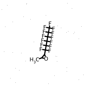 CC1OC1C(F)(F)C(F)(F)C(F)(F)C(F)(F)C(F)(F)C(F)(F)F